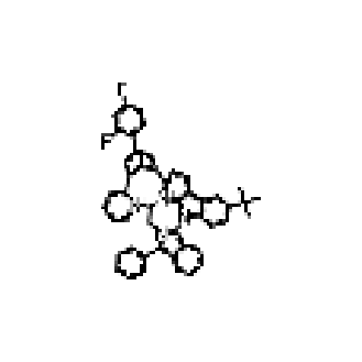 Cc1c2cc(-c3ccc(F)cc3F)cc1-c1ccc3c4cc(C(C)(C)C)ccc4n4c3[n+]1C(Cn1c(-c3ccccc3)c3ccccc3c1-4)[n+]1ccccc1-2